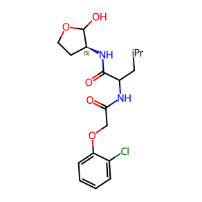 CC(C)CC(NC(=O)COc1ccccc1Cl)C(=O)N[C@H]1CCOC1O